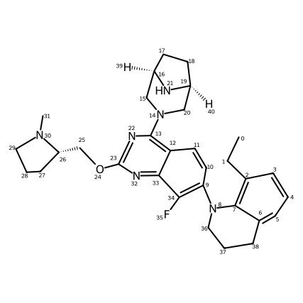 CCc1cccc2c1N(c1ccc3c(N4C[C@H]5CC[C@@H](C4)N5)nc(OC[C@@H]4CCCN4C)nc3c1F)CCC2